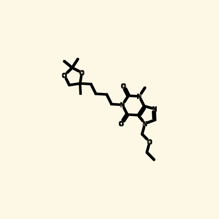 CCOCn1cnc2c1c(=O)n(CCCCC1(C)COC(C)(C)O1)c(=O)n2C